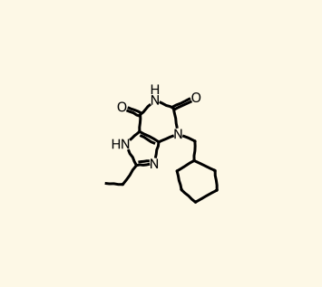 CCc1nc2c([nH]1)c(=O)[nH]c(=O)n2CC1CCCCC1